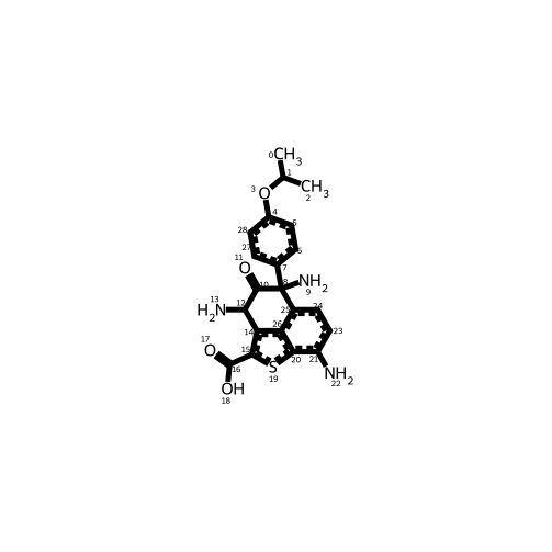 CC(C)Oc1ccc(C2(N)C(=O)C(N)c3c(C(=O)O)sc4c(N)ccc2c34)cc1